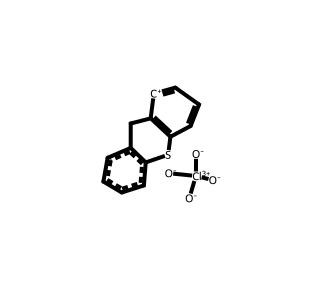 [C+]1=CC=CC2=C1Cc1ccccc1S2.[O-][Cl+3]([O-])([O-])[O-]